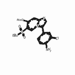 COc1cc2ncc(-c3ccc(N)c(Cl)c3)n2cc1S(=O)(=O)C(C)(C)C